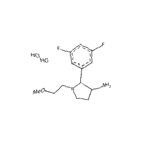 COCCN1CCC(N)C1c1cc(F)cc(F)c1.Cl.Cl